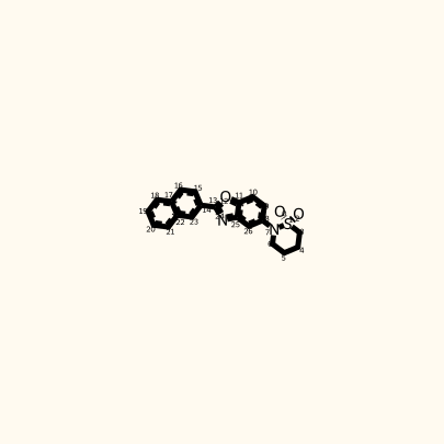 O=S1(=O)CCCCN1c1ccc2oc(-c3ccc4ccccc4c3)nc2c1